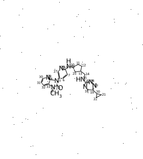 Cn1c(=O)n(-c2ccc(N[C@H]3CCC(CNc4ncc(C5CC5)nn4)C3)nc2)c2ncccc21